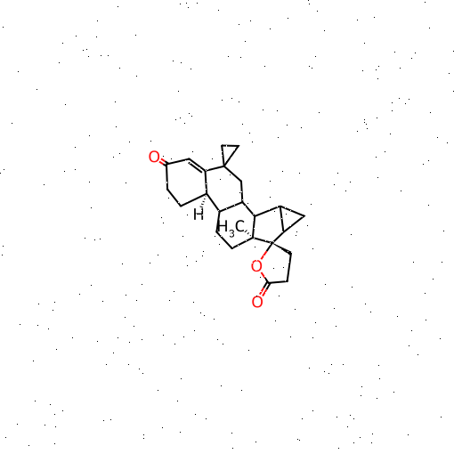 C[C@]12CCC3C(CC4(CC4)C4=CC(=O)CC[C@@H]43)C1C1CC1[C@@]21CCC(=O)O1